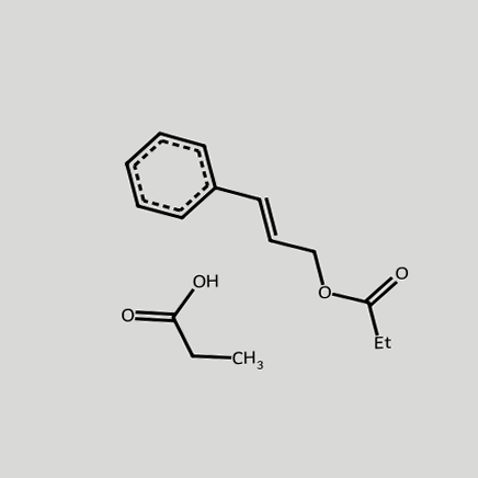 CCC(=O)O.CCC(=O)OCC=Cc1ccccc1